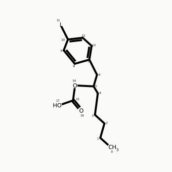 CCCCCC(Cc1ccc(I)cc1)OC(=O)O